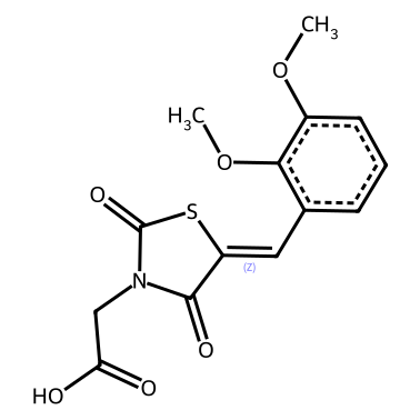 COc1cccc(/C=C2\SC(=O)N(CC(=O)O)C2=O)c1OC